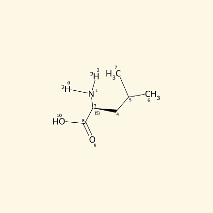 [2H]N([2H])[C@@H](CC(C)C)C(=O)O